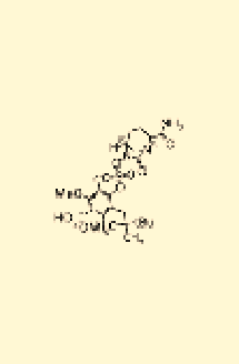 COc1c(Cl)c(OS(=O)(=O)ON2C(=O)N3C[C@H]2CC[C@H]3C(N)=O)c(CC(C)(C)C(C)(C)C)c(OC)c1C(=O)O